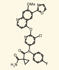 COc1cc2nccc(Oc3ncc(N(C(=O)C4(C(N)=O)CC4)c4ccc(F)cc4)cc3Cl)c2cc1-c1ncco1